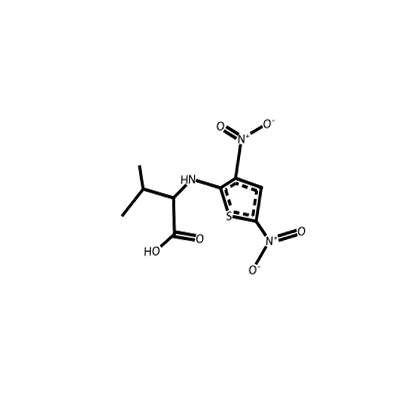 CC(C)C(Nc1sc([N+](=O)[O-])cc1[N+](=O)[O-])C(=O)O